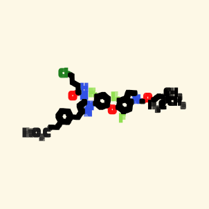 CCOC(=O)CCc1cccc(Cc2cc(NC(=O)CCCCl)n(-c3cc(Oc4c(F)cc5c(ccn5COCC[Si](C)(C)C)c4F)ccc3F)n2)c1